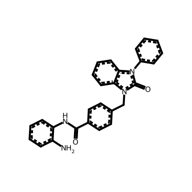 Nc1ccccc1NC(=O)c1ccc(Cn2c(=O)n(-c3ccccc3)c3ccccc32)cc1